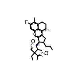 CCCC1Cc2c(nc3cc(F)c(C)c4c3c2[C@@H](C)CC4)/C1=C/C(C)C(C=C=O)(CC)C(C)=C=O